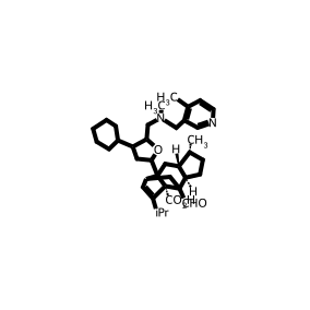 Cc1ccncc1CN(C)CC1OC(C23C[C@@H]4[C@H](C)CC[C@H]4C4(C=O)CC2C=C(C(C)C)[C@@]34C(=O)O)CC1C1CCCCC1